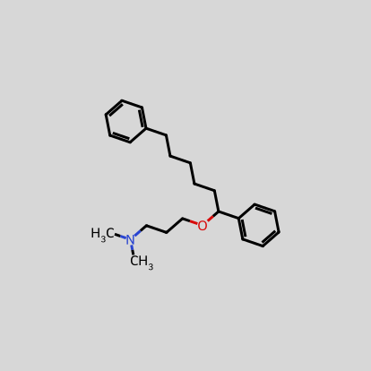 CN(C)CCCOC(CCCCCc1ccccc1)c1ccccc1